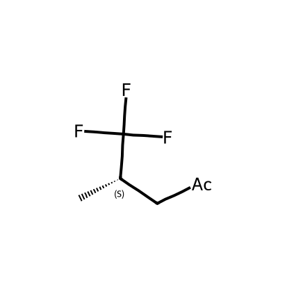 CC(=O)C[C@H](C)C(F)(F)F